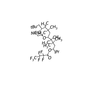 CC(C)C(CC(C)(C)C(C)(C)C(CC(C)(C)C(C)C(O)CC(C)(C)C)OCCC#N)OC(=O)C(F)(F)C(F)(F)C(F)(F)F